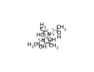 CC(O)CCN(CCN(CC(C)O)CC(C)O)CC(C)O